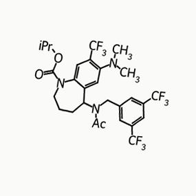 CC(=O)N(Cc1cc(C(F)(F)F)cc(C(F)(F)F)c1)C1CCCN(C(=O)OC(C)C)c2cc(C(F)(F)F)c(N(C)C)cc21